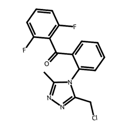 Cc1nnc(CCl)n1-c1ccccc1C(=O)c1c(F)cccc1F